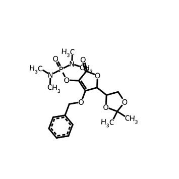 CN(C)P(=O)(OC1=C(OCc2ccccc2)C(C2COC(C)(C)O2)OC1=O)N(C)C